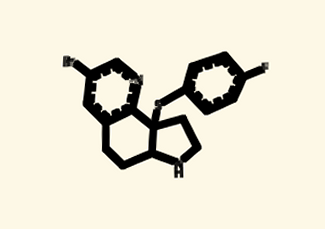 Fc1ccc(SC23CCNC2CCc2cc(Br)cnc23)cc1